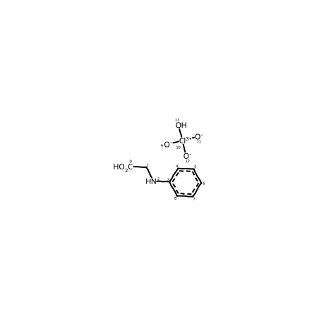 O=C(O)CNc1ccccc1.[O-][Cl+3]([O-])([O-])O